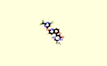 C[C@@H]1CNc2c(oc3ccc4nc(Oc5cc(Cl)nc(C(F)F)n5)ccc4c23)C(=O)N1